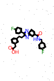 O=C(O)Cc1cccc(CCc2nc3cc(C(=O)NCc4ccc(F)cc4)ccc3nc2-c2ccc(F)cc2)c1